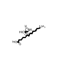 CC(C)(O)CN.CCCCCCCCCCCCCC(=O)O